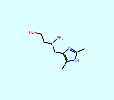 Cc1nc(CN(P)CCO)c(C)[nH]1